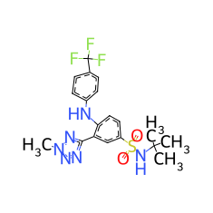 Cn1nnc(-c2cc(S(=O)(=O)NC(C)(C)C)ccc2Nc2ccc(C(F)(F)F)cc2)n1